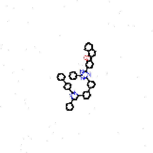 c1ccc(-c2ccc(-c3nc(-c4ccccc4)cc(-c4cccc(-c5cccc(-c6nc(-c7ccccc7)nc(-c7ccc8c(c7)oc7c9ccccc9ccc87)n6)c5)c4)n3)cc2)cc1